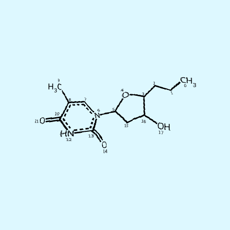 CCCC1OC(n2cc(C)c(=O)[nH]c2=O)CC1O